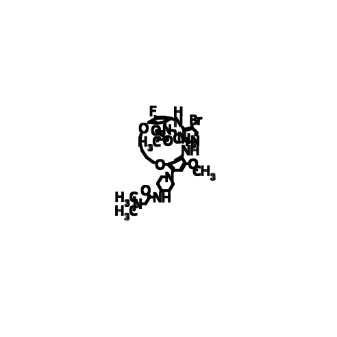 CCN(c1cc2c(F)cc1Nc1nc(ncc1Br)Nc1cc(c(N3CCC(NC(=O)CN(C)C)CC3)cc1OC)OCCCCCO2)S(C)(=O)=O